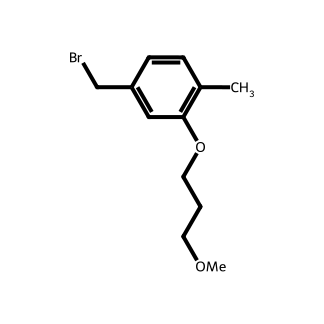 COCCCOc1cc(CBr)ccc1C